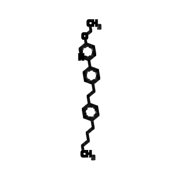 CCCCCc1ccc(CCc2ccc(-c3ccc(OCC)cn3)cc2)cc1